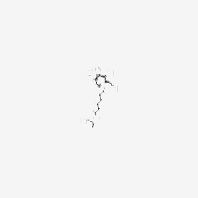 CCCC(CCC)OCCCCCCN1C[C@H](O)[C@@H](O)[C@H](O)[C@H]1CO